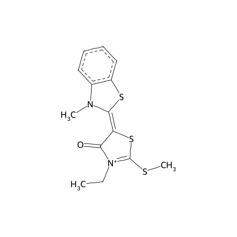 CC[N+]1=C(SC)SC(=C2Sc3ccccc3N2C)C1=O